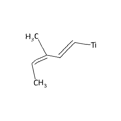 CC=C(C)C=[CH][Ti]